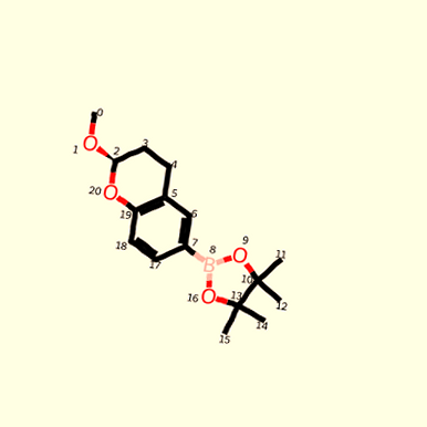 CO[C@H]1CCc2cc(B3OC(C)(C)C(C)(C)O3)ccc2O1